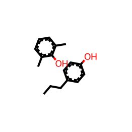 CCCc1ccc(O)cc1.Cc1cccc(C)c1O